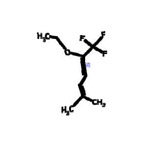 CCO/C(=C\C=C(C)C)C(F)(F)F